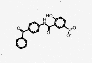 O=C(c1ccccc1)c1ccc(NC(=O)c2cc([N+](=O)[O-])ccc2O)cc1